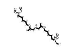 CCO[SiH](CCCCCOC(C)CNCC(C)OCCCCC[SiH](OCC)OCC)OCC